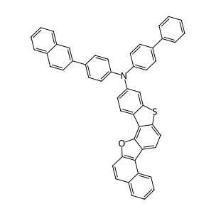 c1ccc(-c2ccc(N(c3ccc(-c4ccc5ccccc5c4)cc3)c3ccc4c(c3)sc3ccc5c(oc6ccc7ccccc7c65)c34)cc2)cc1